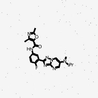 Cc1nc(C)c(C(=O)Nc2ccc(F)c(-c3nc4ncc(N(C)C(C)C)cn4n3)c2)o1